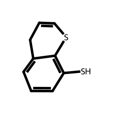 Sc1cccc2c1SC=CC2